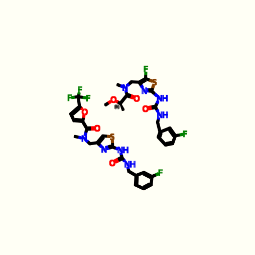 CN(Cc1csc(NC(=O)NCc2cccc(F)c2)n1)C(=O)c1ccc(C(F)(F)F)o1.CO[C@H](C)C(=O)N(C)Cc1nc(NC(=O)NCc2cccc(F)c2)sc1F